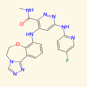 CNC(=O)c1nnc(Nc2ccc(F)cn2)cc1Nc1cccc2c1OCCn1cnnc1-2